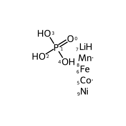 O=P(O)(O)O.[Co].[Fe].[LiH].[Mn].[Ni]